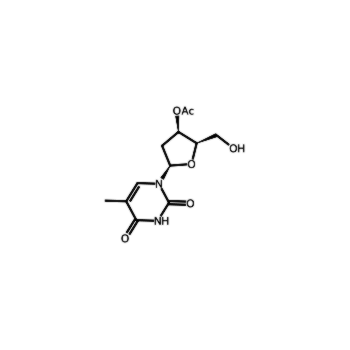 CC(=O)O[C@@H]1C[C@H](n2cc(C)c(=O)[nH]c2=O)O[C@@H]1CO